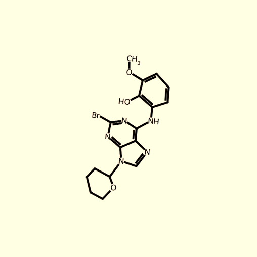 COc1cccc(Nc2nc(Br)nc3c2ncn3C2CCCCO2)c1O